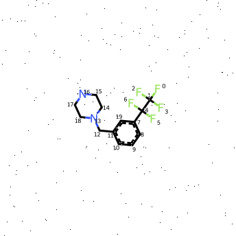 FC(F)(F)C(F)(F)c1cccc(CN2CC[N]CC2)c1